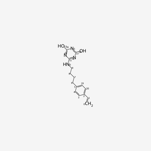 C=Cc1ccc(CCCCNc2nc(O)nc(O)n2)cc1